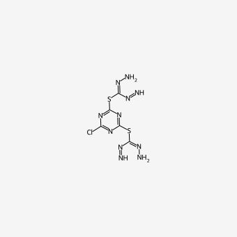 N=NC(=NN)Sc1nc(Cl)nc(SC(N=N)=NN)n1